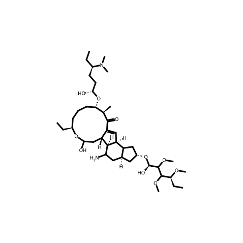 CC[C@H]1CCC[C@H](O[C@H](O)CC[C@@H](CC)N(C)C)[C@@H](C)C(=O)C2=C[C@H]3C4C[C@H](O[C@H](O)C(OC)C(OC)[C@H](CC)OC)C[C@H]4CC(N)[C@H]3[C@@H]2CC(O)O1